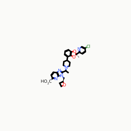 CC(c1nc2ccc(C(=O)O)nc2n1C[C@@H]1CCO1)N1CCC(c2cccc3c2O[C@](C)(c2ccc(Cl)cn2)O3)CC1